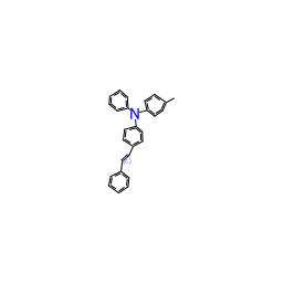 Cc1ccc(N(c2ccccc2)c2ccc(/C=C/c3ccccc3)cc2)cc1